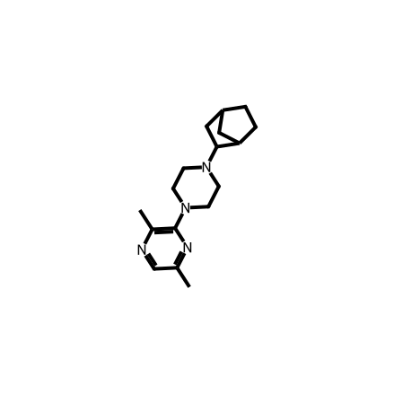 Cc1cnc(C)c(N2CCN(C3CC4CCC3C4)CC2)n1